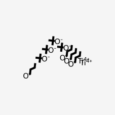 CC(C)(C)[O-].CC(C)(C)[O-].CC(C)(C)[O-].CC(C)(C)[O-].CCCC[O-].CCCC[O-].CCCC[O-].CCCC[O-].[Ti+4].[Ti+4]